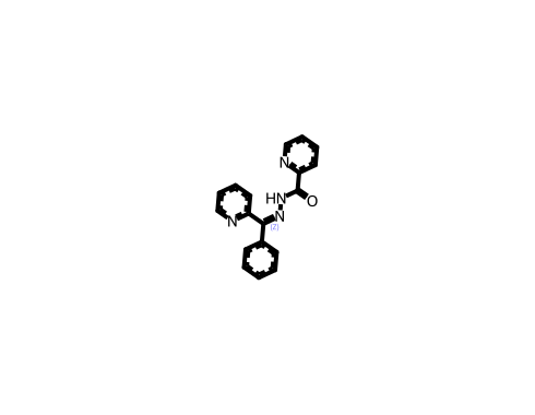 O=C(N/N=C(/c1ccccc1)c1ccccn1)c1ccccn1